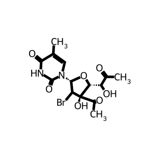 CC(=O)C(O)[C@H]1O[C@@H](n2cc(C)c(=O)[nH]c2=O)C(Br)[C@@]1(O)C(C)=O